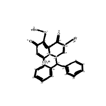 CCCCOc1c2n(c(C(=O)O)cc1=O)N(C(c1ccccc1)c1ccccc1)CN(C(C)C)C2=O